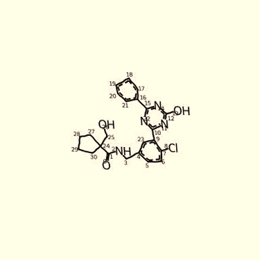 O=C(NCc1ccc(Cl)c(-c2nc(O)nc(-c3ccccc3)n2)c1)C1(CO)CCCC1